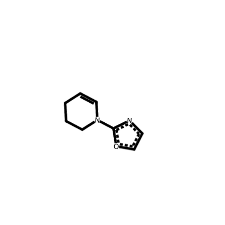 C1=CN(c2ncco2)CCC1